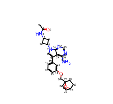 CC(=O)N[C@H]1C[C@@H](n2cc(-c3cccc(OCC45CCC(CC4)O5)c3)c3c(N)ncnc32)C1